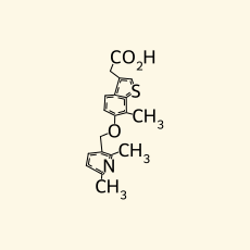 Cc1ccc(COc2ccc3c(CC(=O)O)csc3c2C)c(C)n1